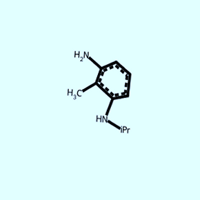 Cc1c(N)cccc1NC(C)C